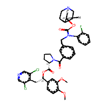 COc1ccc([C@H](Cc2c(Cl)cncc2Cl)OC(=O)[C@@H]2CCCN2C(=O)c2cccc(CN(C(=O)O[C@H]3CN4CCC3CC4)c3ccccc3F)c2)cc1OC